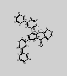 O=c1c2ccccc2oc2c(-c3cccc(-c4ccccc4)c3)cc(-c3cccc(-c4ccccc4)c3)cc12